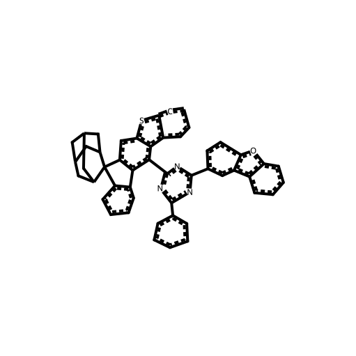 c1ccc(-c2nc(-c3ccc4oc5ccccc5c4c3)nc(-c3c4c(cc5sc6ccccc6c35)C3(c5ccccc5-4)C4CC5CC(C4)CC3C5)n2)cc1